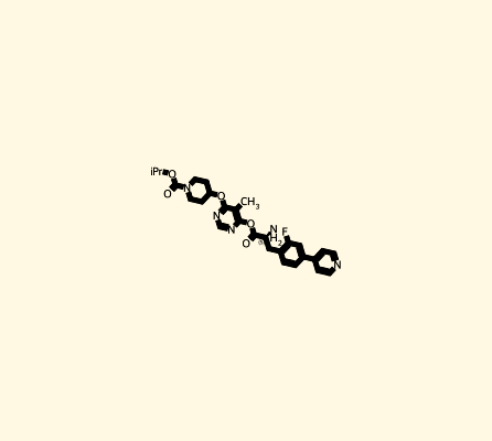 Cc1c(OC(=O)[C@@H](N)Cc2ccc(-c3ccncc3)cc2F)ncnc1OC1CCN(C(=O)OC(C)C)CC1